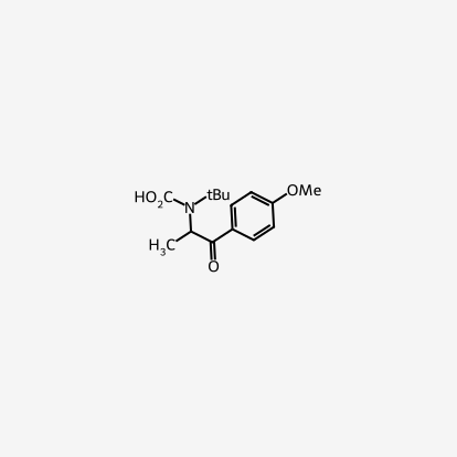 COc1ccc(C(=O)C(C)N(C(=O)O)C(C)(C)C)cc1